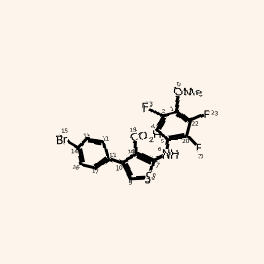 COc1c(F)cc(Nc2scc(-c3ccc(Br)cc3)c2C(=O)O)c(F)c1F